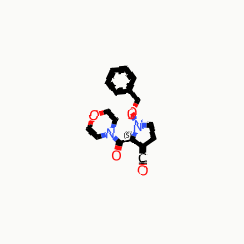 O=C=C1CCN(OCc2ccccc2)[C@@H]1C(=O)N1CCOCC1